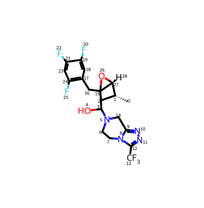 C[C@@H]1C(C(O)N2CCn3c(nnc3C(F)(F)F)C2)C2(Cc3cc(F)c(F)cc3F)O[C@H]12